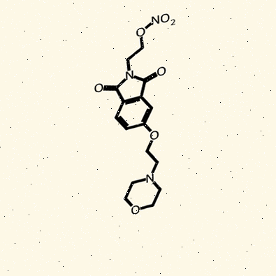 O=C1c2ccc(OCCN3CCOCC3)cc2C(=O)N1CCO[N+](=O)[O-]